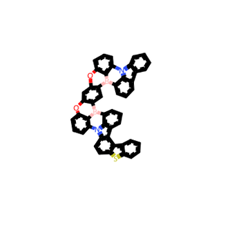 c1cc2c3c(c1)-n1c4ccccc4c4cccc(c41)B3c1cc3c(cc1O2)Oc1cccc2c1B3c1cccc3c4c5c(ccc4n-2c13)sc1ccccc15